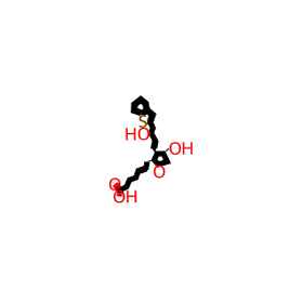 O=C(O)CCCC=CC[C@H]1C(=O)C[C@@H](CO)[C@@H]1C=CC(O)Cc1cc2ccccc2s1